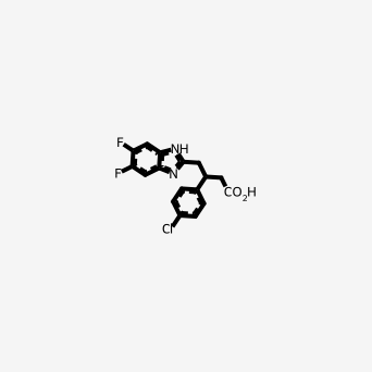 O=C(O)CC(Cc1nc2cc(F)c(F)cc2[nH]1)c1ccc(Cl)cc1